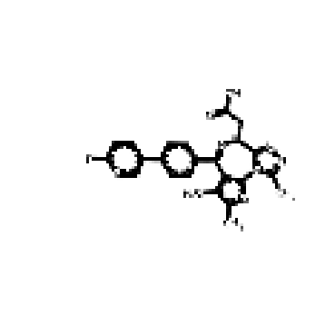 Cc1sc2c(c1C)C(c1ccc(-c3ccc(F)nc3)cc1)=N[C@@H](CC(=O)O)c1nnc(C)n1-2